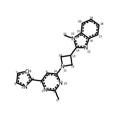 Cc1nc(-c2ncco2)cc(N2CC(c3nc4ccccc4n3C)C2)n1